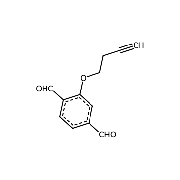 C#CCCOc1cc(C=O)ccc1C=O